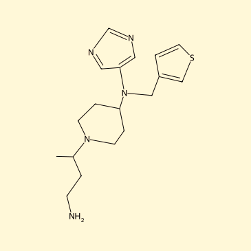 CC(CCN)N1CCC(N(Cc2ccsc2)c2cncnc2)CC1